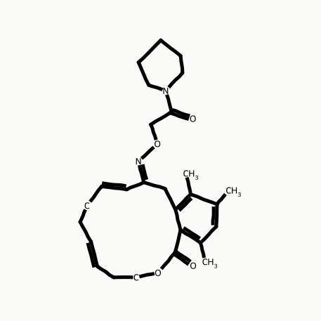 Cc1cc(C)c2c(c1C)CC(=NOCC(=O)N1CCCCC1)/C=C/CC/C=C/CCOC2=O